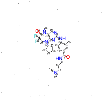 Cc1cc(C(=O)NCCCN(C)C)ccc1Nc1ncc2c(n1)N(C1CCCC1)CC(F)(F)C(=O)N2C